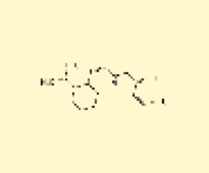 C=C(/C=C\C)CN/C=C\C1CCCCC1C(C)C